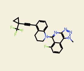 Cn1nnc2nc(N3CCCc4c(C#CC5(C(F)(F)F)CC5)cccc43)c3c(F)cccc3c21